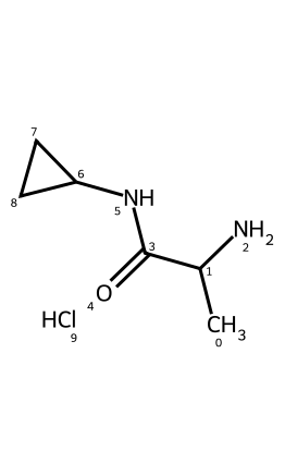 CC(N)C(=O)NC1CC1.Cl